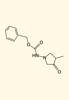 CC1CN(NC(=O)OCc2ccccc2)CC1=O